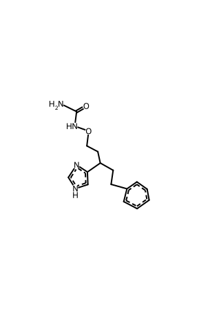 NC(=O)NOCCC(CCc1ccccc1)c1c[nH]cn1